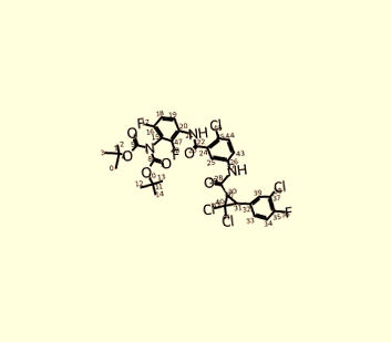 CC(C)(C)OC(=O)N(C(=O)OC(C)(C)C)c1c(F)ccc(NC(=O)c2cc(NC(=O)[C@H]3C(c4ccc(F)c(Cl)c4)C3(Cl)Cl)ccc2Cl)c1F